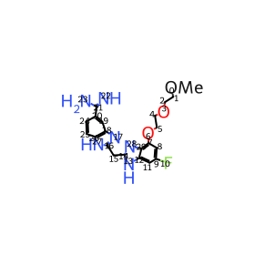 COCCOCCOc1cc(F)cc2[nH]c(Cc3nc4cc(C(=N)N)ccc4[nH]3)nc12